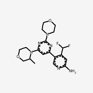 CC1COCCN1c1cc(-c2cnc(N)cc2C(F)F)nc(N2CCOCC2)n1